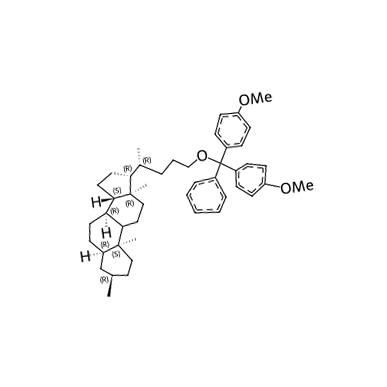 COc1ccc(C(OCCC[C@@H](C)[C@H]2CC[C@H]3[C@@H]4CC[C@@H]5C[C@H](C)CC[C@]5(C)C4CC[C@]23C)(c2ccccc2)c2ccc(OC)cc2)cc1